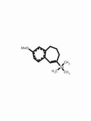 COc1ccc2c(c1)CCC[C]([Sn]([CH3])([CH3])[CH3])=C2